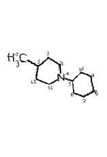 CC1CCN(C2CCCCC2)CC1